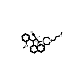 COCCN1CCN(C(=O)[C@](C)(C#N)C(c2ccccc2OC)c2cccc3ccccc23)CC1